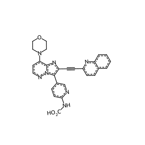 O=C(O)Nc1ccc(-c2c(C#Cc3ccc4ccccc4n3)nc3c(N4CCOCC4)ccnn23)cn1